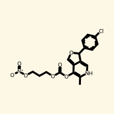 CC1=C(OC(=O)OCCCO[N+](=O)[O-])C2=COC(c3ccc(Cl)cc3)C2=CN1